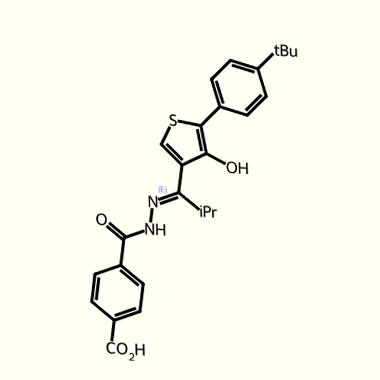 CC(C)/C(=N\NC(=O)c1ccc(C(=O)O)cc1)c1csc(-c2ccc(C(C)(C)C)cc2)c1O